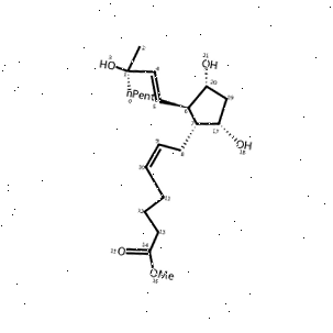 CCCCC[C@@](C)(O)/C=C/[C@@H]1[C@@H](C/C=C\CCCC(=O)OC)[C@@H](O)C[C@H]1O